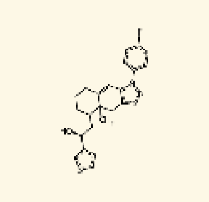 C[C@]12Cc3cnn(-c4ccc(F)cc4)c3C=C1CCC[C@@H]2C[C@H](O)c1ccsc1